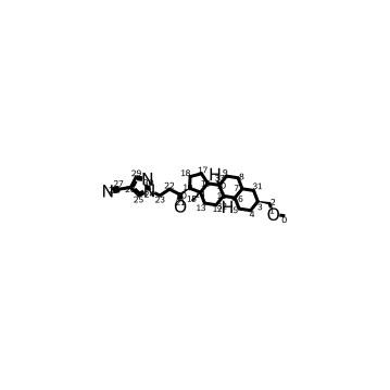 COC[C@H]1CC[C@H]2C(CC[C@@H]3C2CC[C@@]2(C)C3CC[C@@H]2C(=O)CCn2cc(C#N)cn2)C1